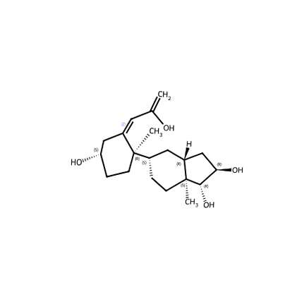 C=C(O)/C=C1/C[C@@H](O)CC[C@]1(C)[C@H]1CC[C@@]2(C)[C@H](C1)C[C@@H](O)[C@@H]2O